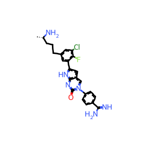 C[C@H](N)CCCc1cc(Cl)c(F)c(-c2cc3cn(-c4ccc(C(=N)N)cc4)c(=O)nc3[nH]2)c1